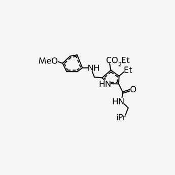 CCOC(=O)c1c(CNc2ccc(OC)cc2)[nH]c(C(=O)NCC(C)C)c1CC